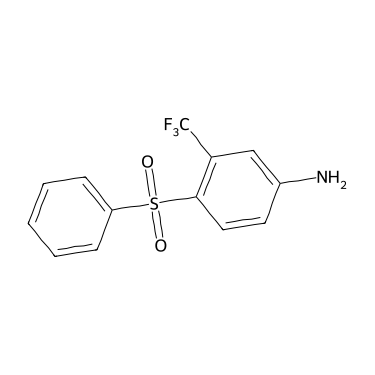 Nc1ccc(S(=O)(=O)c2ccccc2)c(C(F)(F)F)c1